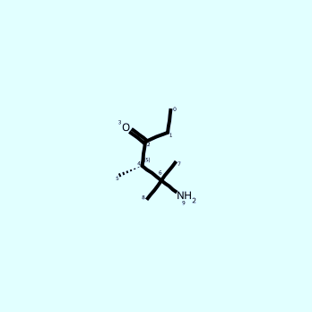 CCC(=O)[C@@H](C)C(C)(C)N